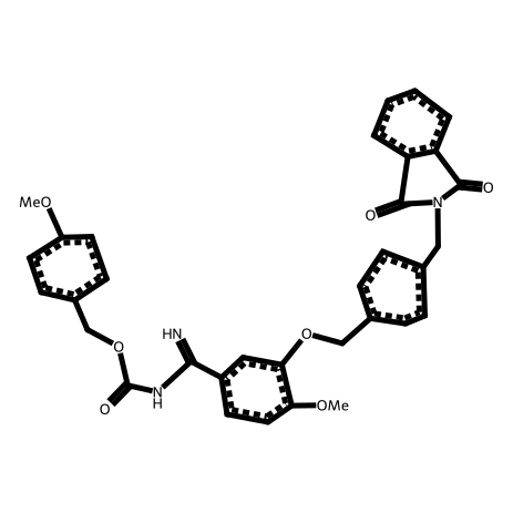 COc1ccc(COC(=O)NC(=N)c2ccc(OC)c(OCc3ccc(CN4C(=O)c5ccccc5C4=O)cc3)c2)cc1